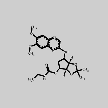 CCNC(=O)O[C@H]1C[C@@H](Nc2cnc3cc(OC)c(OC)cc3n2)[C@@H]2OC(C)(C)O[C@@H]21